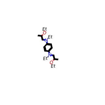 CCOC(C)CN(CC)c1ccc(N(CC)CC(C)OCC)cc1